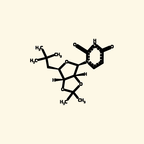 CC(C)(C)C[C@H]1O[C@@H](n2ccc(=O)[nH]c2=O)[C@@H]2OC(C)(C)O[C@@H]21